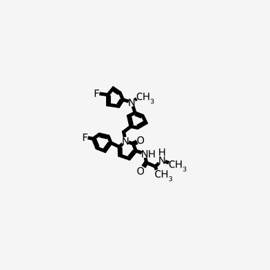 CNC(C)C(=O)Nc1ccc(-c2ccc(F)cc2)n(Cc2cccc(N(C)c3ccc(F)cc3)c2)c1=O